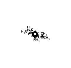 CNS(=O)(=O)c1ccc(OC(C)C)c(N)c1